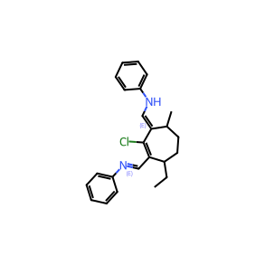 CCC1CCC(C)/C(=C\Nc2ccccc2)C(Cl)=C1/C=N/c1ccccc1